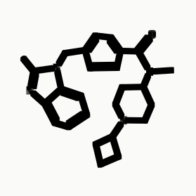 Cc1nc2ccccc2n1Cc1ccc(C(=O)N(C)C2CCN(C3CCC3)CC2)cc1